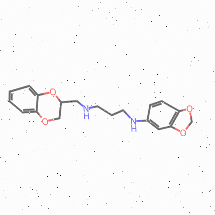 c1ccc2c(c1)OCC(CNCCCNc1ccc3c(c1)OCO3)O2